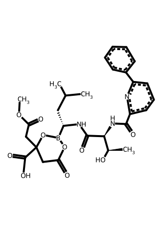 COC(=O)CC1(C(=O)O)CC(=O)OB([C@H](CC(C)C)NC(=O)[C@@H](NC(=O)c2cccc(-c3ccccc3)n2)[C@@H](C)O)O1